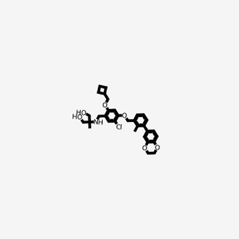 Cc1c(COc2cc(OCC3CCC3)c(CNC(C)(CO)CO)cc2Cl)cccc1-c1ccc2c(c1)OCCO2